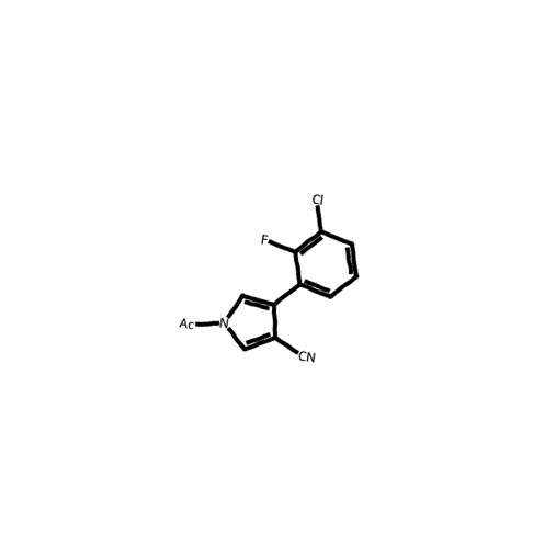 CC(=O)n1cc(C#N)c(-c2cccc(Cl)c2F)c1